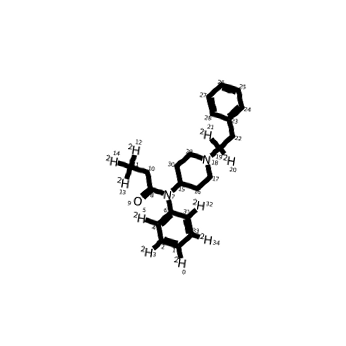 [2H]c1c([2H])c([2H])c(N(C(=O)CC([2H])([2H])[2H])C2CCN(C([2H])([2H])Cc3ccccc3)CC2)c([2H])c1[2H]